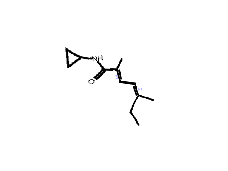 CC/C(C)=C\C=C(/C)C(=O)NC1CC1